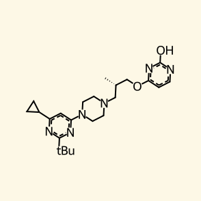 C[C@H](COc1ccnc(O)n1)CN1CCN(c2cc(C3CC3)nc(C(C)(C)C)n2)CC1